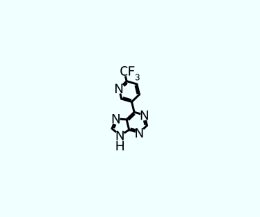 FC(F)(F)c1ccc(-c2ncnc3[nH]cnc23)cn1